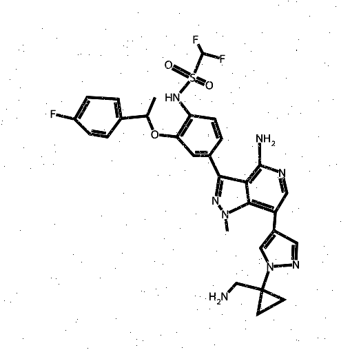 CC(Oc1cc(-c2nn(C)c3c(-c4cnn(C5(CN)CC5)c4)cnc(N)c23)ccc1NS(=O)(=O)C(F)F)c1ccc(F)cc1